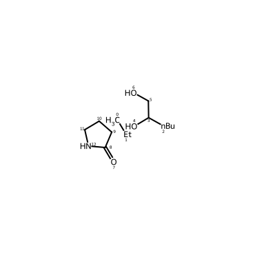 CCC.CCCCC(O)CO.O=C1CCCN1